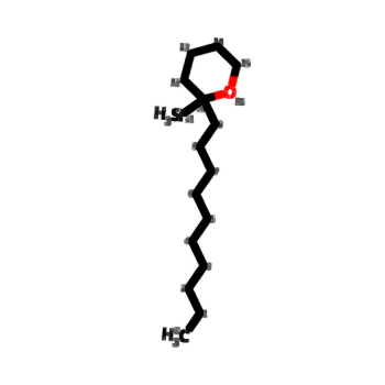 CCCCCCCCCCC1([SiH3])CCCCO1